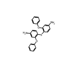 Nc1ccc(Sc2ccc(N)cc2Oc2ccccc2)c(Oc2ccccc2)c1